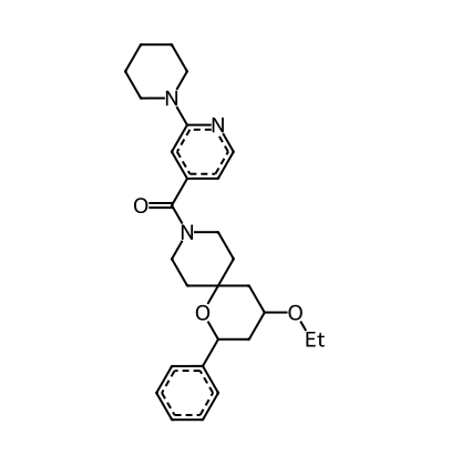 CCOC1CC(c2ccccc2)OC2(CCN(C(=O)c3ccnc(N4CCCCC4)c3)CC2)C1